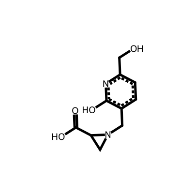 O=C(O)C1CN1Cc1ccc(CO)nc1O